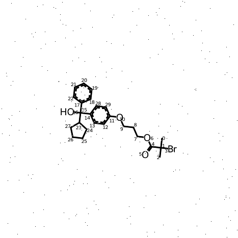 CC(C)(Br)C(=O)OCCCOc1ccc(C(O)(c2ccccc2)C2CCCC2)cc1